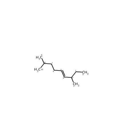 CCC(C)/C=C/CCC(C)C